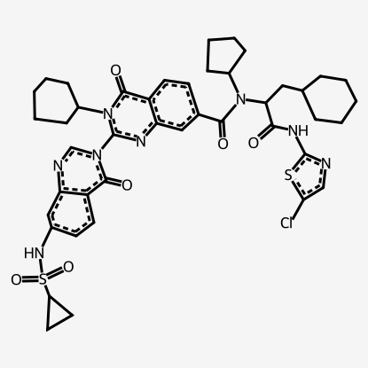 O=C(Nc1ncc(Cl)s1)C(CC1CCCCC1)N(C(=O)c1ccc2c(=O)n(C3CCCCC3)c(-n3cnc4cc(NS(=O)(=O)C5CC5)ccc4c3=O)nc2c1)C1CCCC1